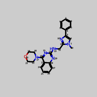 Cn1cc(-c2ccccc2)nc1CNc1nc(N2CCOCC2)c2ccccc2n1